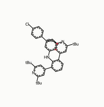 CC(C)(C)c1cc(-c2cccc(-c3cc(C(C)(C)C)nc(C(C)(C)C)c3)c2Nc2cccc(-c3ccc(Cl)cc3)c2)cc(C(C)(C)C)n1